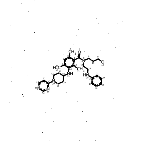 Cc1cc(C)c(C(=O)N(CCCO)CCNc2ccccc2)c(C)c1NC1CCN(c2ccncn2)CC1